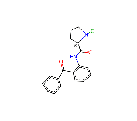 O=C(c1ccccc1)c1ccccc1NC(=O)[C@H]1CCCN1Cl